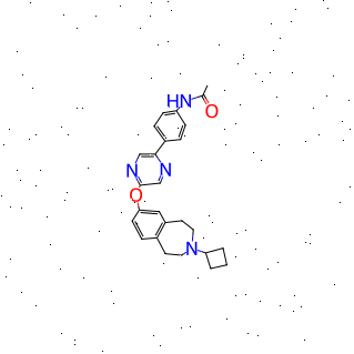 CC(=O)Nc1ccc(-c2cnc(Oc3ccc4c(c3)CCN(C3CCC3)CC4)cn2)cc1